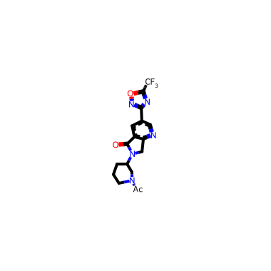 CC(=O)N1CCCC(N2Cc3ncc(-c4noc(C(F)(F)F)n4)cc3C2=O)C1